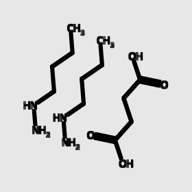 CCCCNN.CCCCNN.O=C(O)CCC(=O)O